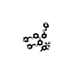 Cc1ccc(S(=O)(=O)[O-])c(C)c1.c1cc(OCc2ccncc2)cc([S+](c2cccc(OCc3ccncc3)c2)c2cccc(OCc3ccncc3)c2)c1